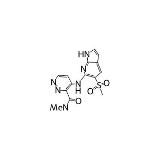 CNC(=O)c1nnccc1Nc1nc2[nH]ccc2cc1S(C)(=O)=O